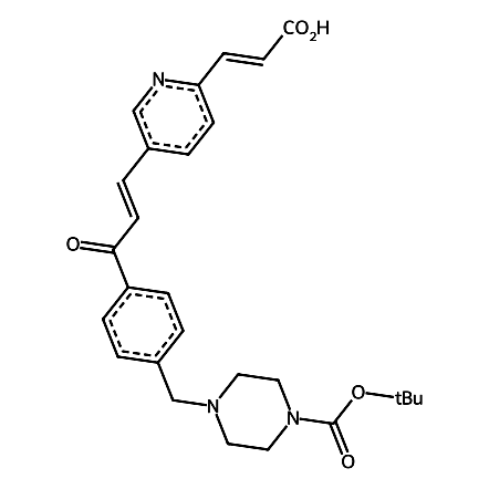 CC(C)(C)OC(=O)N1CCN(Cc2ccc(C(=O)C=Cc3ccc(C=CC(=O)O)nc3)cc2)CC1